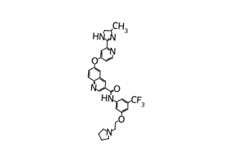 CC1CNC(c2cc(Oc3ccc4ncc(C(=O)Nc5cc(OCCN6CCCC6)cc(C(F)(F)F)c5)cc4c3)ccn2)=N1